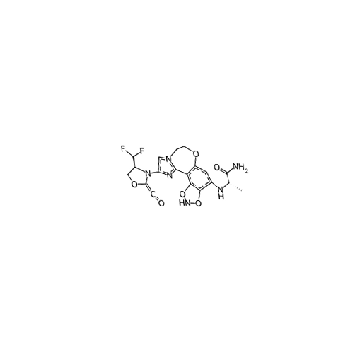 C[C@H](Nc1cc2c(c3c1ONO3)-c1nc(N3C(=C=O)OC[C@H]3C(F)F)cn1CCO2)C(N)=O